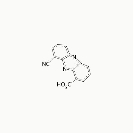 N#Cc1cccc2nc3cccc(C(=O)O)c3nc12